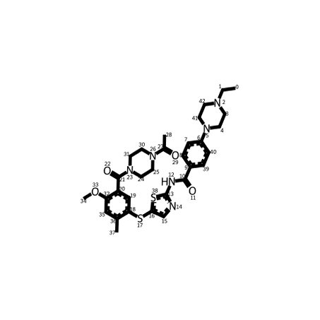 CCN1CCN(c2ccc(C(=O)Nc3ncc(Sc4cc(C(=O)N5CCN(C(C)=O)CC5)c(OC)cc4C)s3)cc2)CC1